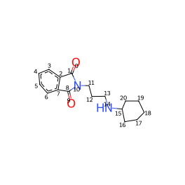 O=C1c2ccccc2C(=O)N1CCCNC1CCCCC1